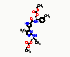 CCOC(=O)OC[C@@H](CC)Nc1ncc(C)c(-c2c[nH]c(C(=O)N[C@H](COC(=O)OCC)c3cccc(C)c3)c2)n1